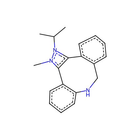 CC(C)n1c2c(n1C)-c1ccccc1NCc1ccccc1-2